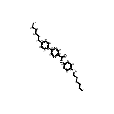 CCCCCCOc1ccc(OC(=O)c2cnc(-c3ccc(CCCCCC)cc3)cn2)cc1